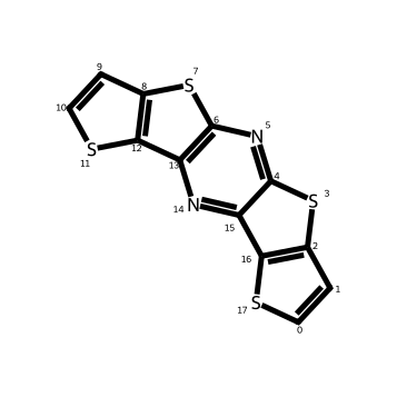 c1cc2sc3nc4sc5ccsc5c4nc3c2s1